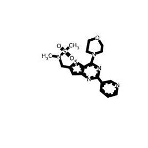 CN(Cc1cc2nc(-c3cccnc3)nc(N3CCOCC3)c2s1)S(C)(=O)=O